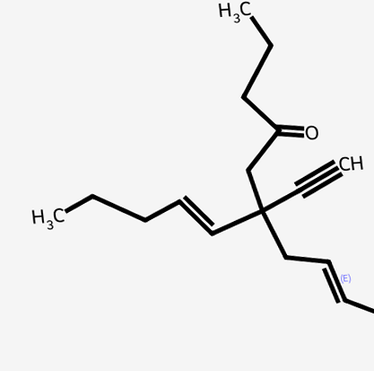 C#CC(C=CCCC)(C/C=C/F)CC(=O)CCC